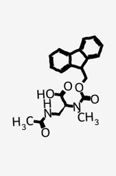 CC(=O)NC[C@@H](C(=O)O)N(C)C(=O)OCC1c2ccccc2-c2ccccc21